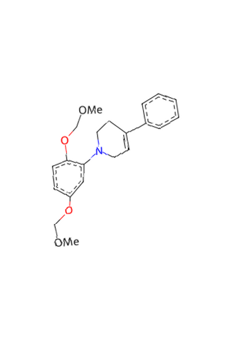 COCOc1ccc(OCOC)c(N2CC=C(c3ccccc3)CC2)c1